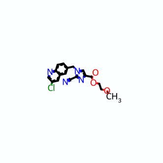 COCCOC(=O)c1cn(Cc2ccc3ncc(Cl)cc3c2)c(C#N)n1